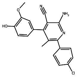 COc1cc(-c2c(C)c(-c3ccc(Cl)cc3)nc(N)c2C#N)ccc1O